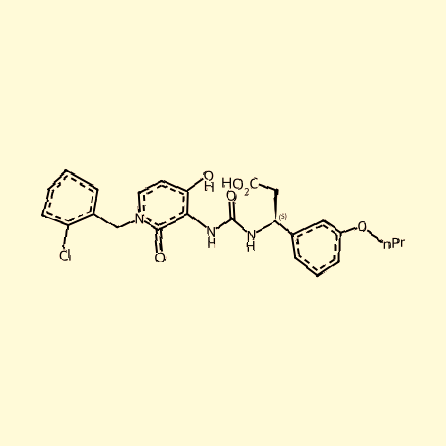 CCCOc1cccc([C@H](CC(=O)O)NC(=O)Nc2c(O)ccn(Cc3ccccc3Cl)c2=O)c1